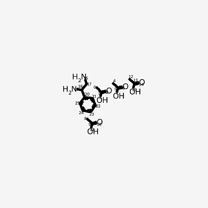 CC(=O)O.CC(=O)O.CC(=O)O.CC(=O)O.NCC(N)c1ccccc1